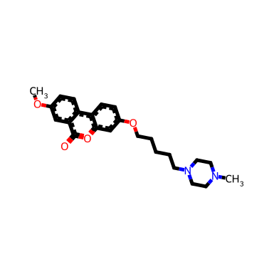 COc1ccc2c(c1)c(=O)oc1cc(OCCCCCN3CCN(C)CC3)ccc12